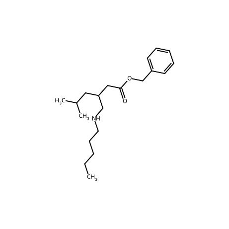 CCCCCNCC(CC(=O)OCc1ccccc1)CC(C)C